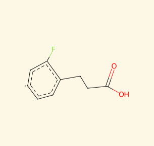 O=C(O)CCc1cc[c]cc1F